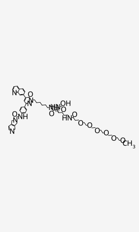 COCCOCCOCCOCCOCCOCCC(=O)NCCCC[C@H](NC(=O)O)C(=O)NCCCCCCn1nc(-c2ccc(NC(=O)N3Cc4ccncc4C3)cc2)cc(-c2ccc3cccnc3c2)c1=O